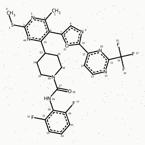 CSc1nc(C)c(-c2cnc(-c3ccnc(C(F)(F)F)n3)o2)c(C2CCN(C(=O)Nc3c(F)cccc3F)CC2)n1